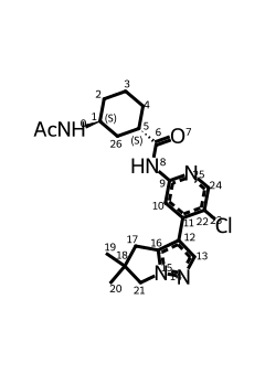 CC(=O)N[C@H]1CCC[C@H](C(=O)Nc2cc(-c3cnn4c3CC(C)(C)C4)c(Cl)cn2)C1